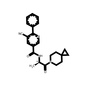 C[C@@H](NC(=O)c1cnc(-c2ccccc2)c(C#N)c1)C(=O)N1CCC2(CC1)CC2